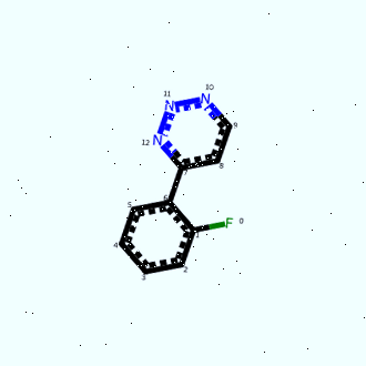 Fc1ccccc1-c1ccnnn1